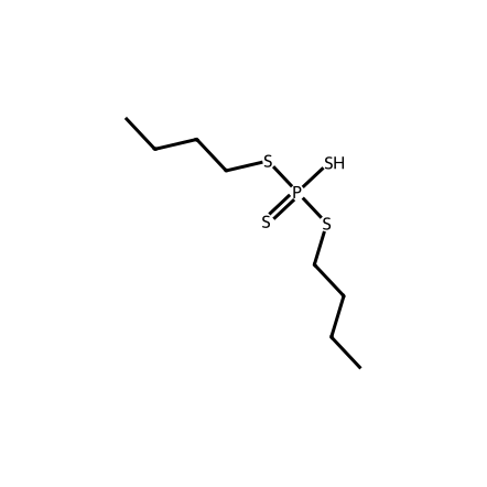 CCCCSP(=S)(S)SCCCC